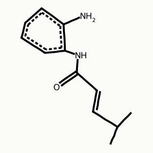 CC(C)/C=C/C(=O)Nc1ccccc1N